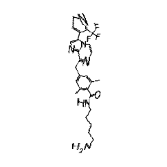 Cc1cc(Cc2nccn3c(C4=CCN=C4C(F)(F)F)cnc23)cc(C)c1C(=O)NCCCCCN